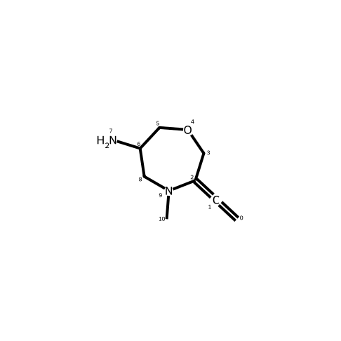 C=C=C1COCC(N)CN1C